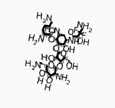 NCC1=CC[C@@H](N)[C@@H](O[C@H]2[C@H](O[C@@H]3O[C@H](CO)[C@@H](O[C@H]4O[C@@H](CN)[C@@H](O)[C@H](O)[C@H]4N)[C@H]3O)[C@@H](O)[C@H](NC(=O)[C@@H](O)C(F)(F)CN)C[C@@H]2N)O1